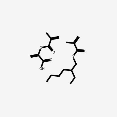 C=C(C)C(=O)OC(=C)C(=O)O.C=C(C)C(=O)OCC(CC)CCCC